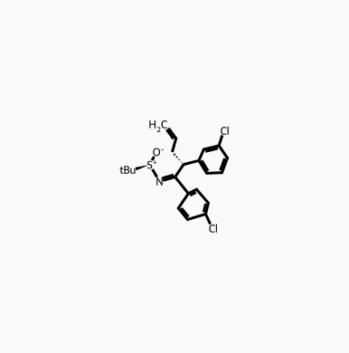 C=CC[C@@H](C(=N[S@+]([O-])C(C)(C)C)c1ccc(Cl)cc1)c1cccc(Cl)c1